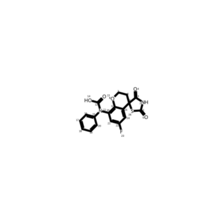 O=C1NC(=O)C2(CCOc3c(N(C(=O)O)c4ccccc4)cc(F)cc32)S1